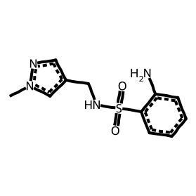 Cn1cc(CNS(=O)(=O)c2ccccc2N)cn1